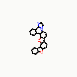 c1ccc2c(c1)oc1ccc3c4ccc5c(c6ccccc6c6nccn56)c4oc3c12